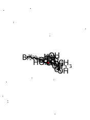 C[C@H](CCC(=O)O)[C@H]1CC[C@H]2[C@@H]3[C@H](O)C[C@@H]4C[C@@](O)(OCCCCCCBr)CC[C@]4(C)[C@H]3C[C@H](O)[C@]12C